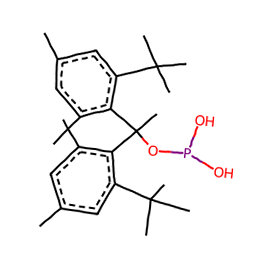 Cc1cc(C)c(C(C)(OP(O)O)c2c(C)cc(C)cc2C(C)(C)C)c(C(C)(C)C)c1